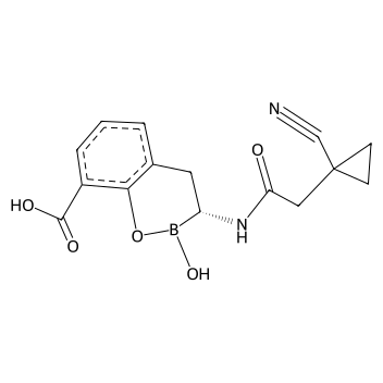 N#CC1(CC(=O)N[C@H]2Cc3cccc(C(=O)O)c3OB2O)CC1